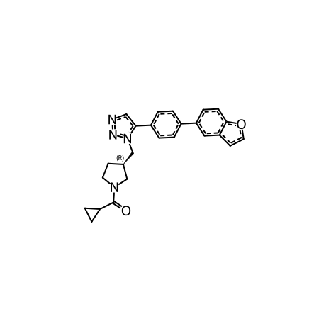 O=C(C1CC1)N1CC[C@@H](Cn2nncc2-c2ccc(-c3ccc4occc4c3)cc2)C1